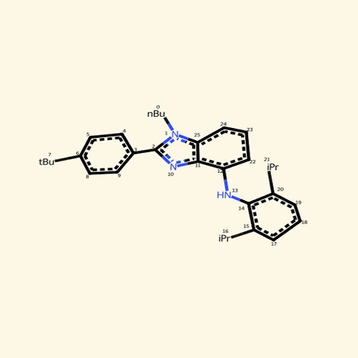 CCCCn1c(-c2ccc(C(C)(C)C)cc2)nc2c(Nc3c(C(C)C)cccc3C(C)C)cccc21